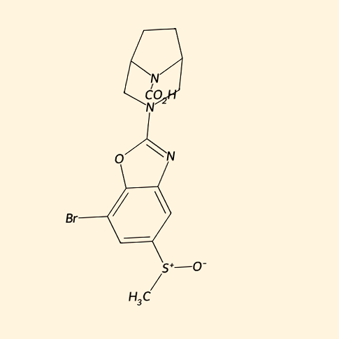 C[S+]([O-])c1cc(Br)c2oc(N3CC4CCC(C3)N4C(=O)O)nc2c1